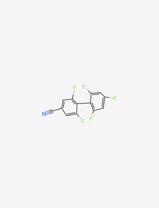 N#Cc1cc(F)c(-c2c(F)cc(F)cc2F)c(F)c1